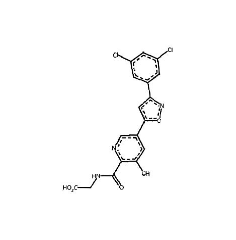 O=C(O)CNC(=O)c1ncc(-c2cc(-c3cc(Cl)cc(Cl)c3)no2)cc1O